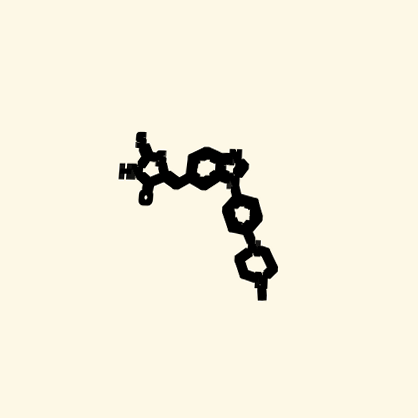 CN1CCN(c2ccc(-n3cnc4ccc(/C=C5\SC(=S)NC5=O)cc43)cc2)CC1